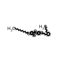 CCCCCCCCCCCCOc1ccc(C(=O)Oc2ccc(OCCCC3CCCCC3CCCCC)cc2)c(Br)c1